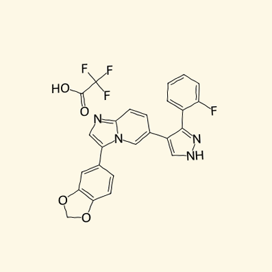 Fc1ccccc1-c1n[nH]cc1-c1ccc2ncc(-c3ccc4c(c3)OCO4)n2c1.O=C(O)C(F)(F)F